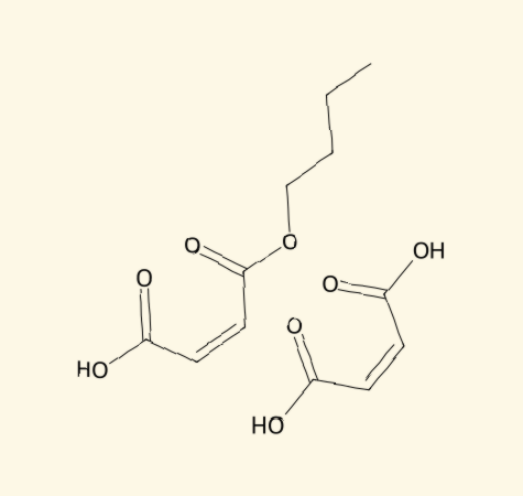 CCCCOC(=O)/C=C\C(=O)O.O=C(O)/C=C\C(=O)O